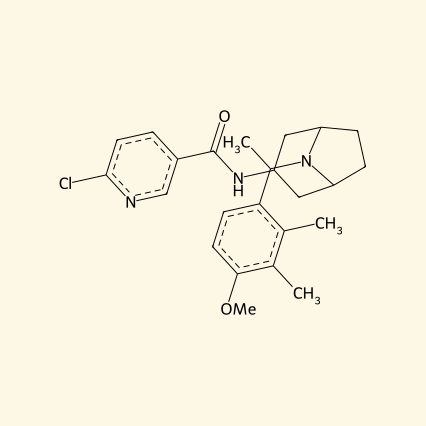 COc1ccc(C(C)N2C3CCC2CC(NC(=O)c2ccc(Cl)nc2)C3)c(C)c1C